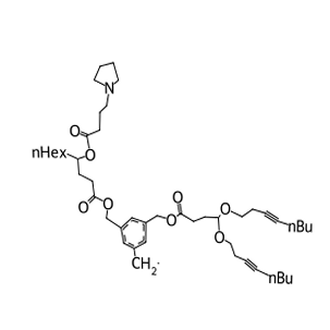 [CH2]c1cc(COC(=O)CCC(CCCCCC)OC(=O)CCCN2CCCC2)cc(COC(=O)CCC(OCCC#CCCCC)OCCC#CCCCC)c1